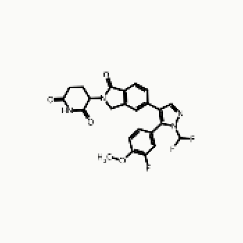 COc1ccc(-c2c(-c3ccc4c(c3)CN(C3CCC(=O)NC3=O)C4=O)cnn2C(F)F)cc1F